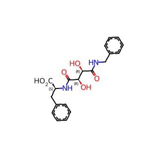 O=C(O)[C@H](Cc1ccccc1)NC(=O)[C@H](O)[C@@H](O)C(=O)NCc1ccccc1